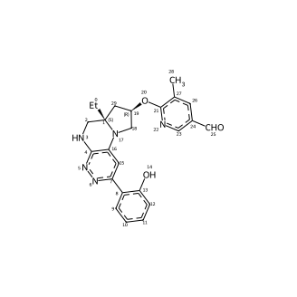 CC[C@]12CNc3nnc(-c4ccccc4O)cc3N1C[C@H](Oc1ncc(C=O)cc1C)C2